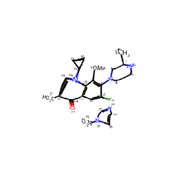 COc1c(N2CCNC(C)C2)c(F)cc2c(=O)c(C(=O)O)cn(C3CC3)c12.O=[N+]([O-])n1ccnc1